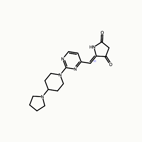 O=C1CC(=O)/C(=C/c2ccnc(N3CCC(N4CCCC4)CC3)n2)N1